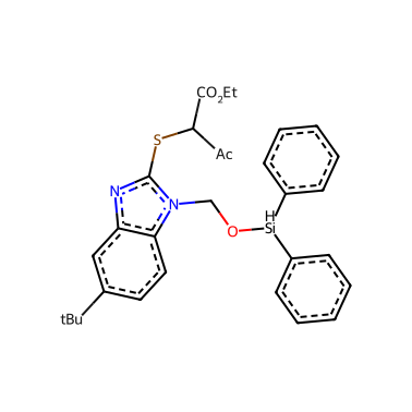 CCOC(=O)C(Sc1nc2cc(C(C)(C)C)ccc2n1CO[SiH](c1ccccc1)c1ccccc1)C(C)=O